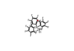 C[CH2][Sn]([CH2]C)([CH2]C)[Ge]([c]1c(F)c(F)c(F)c(F)c1F)([c]1c(F)c(F)c(F)c(F)c1F)[c]1c(F)c(F)c(F)c(F)c1F